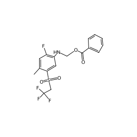 Cc1cc(F)c(NCOC(=O)c2ccccc2)cc1S(=O)(=O)CC(F)(F)F